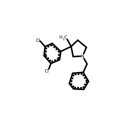 CC1(c2cc(Cl)cc(Cl)c2)CCN(Cc2ccccc2)C1